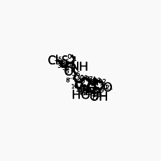 CC[C@@H](NC(=O)C[C@@H](C)C1CC[C@H]2[C@@H]3[C@H](O)[C@H](O)[C@@H]4CC(=O)CC[C@]4(C)[C@H]3CC[C@]12C)c1ccc(Cl)s1